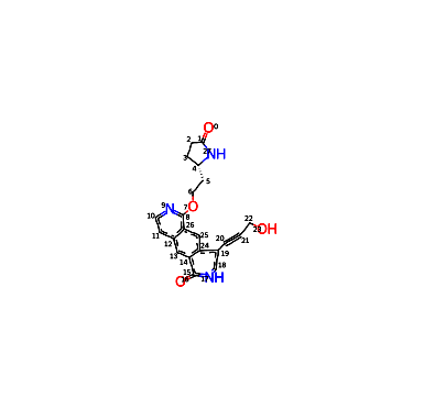 O=C1CC[C@@H](CCOc2nccc3cc4c(=O)[nH]cc(C#CCO)c4cc23)N1